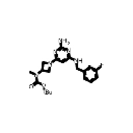 CN(C(=O)OC(C)(C)C)C1CN(c2cc(NCc3cccc(F)c3)nc(N)n2)C1